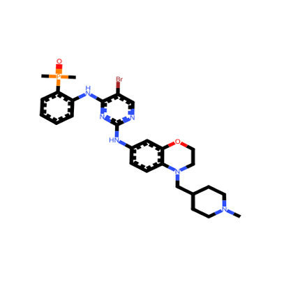 CN1CCC(CN2CCOc3cc(Nc4ncc(Br)c(Nc5ccccc5P(C)(C)=O)n4)ccc32)CC1